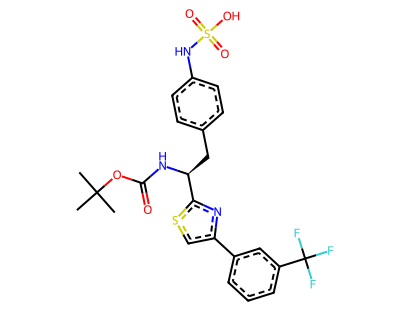 CC(C)(C)OC(=O)N[C@@H](Cc1ccc(NS(=O)(=O)O)cc1)c1nc(-c2cccc(C(F)(F)F)c2)cs1